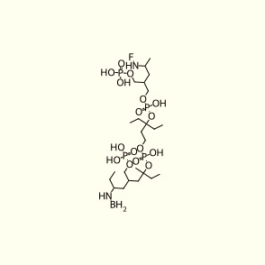 BNC(CC)CC(COP(=O)(O)O)CC(C)(CC)OP(=O)(O)OCCC(CC)(CC)OP(=O)(O)OCC(COP(=O)(O)O)CC(C)NF